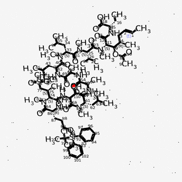 C/C=C/C[C@@H](C)[C@@H](OC(C)=O)[C@@H](C(=O)N[C@@H](CC)C(=O)O)N(C)C(=O)[C@H](C(C)C)N(C)C(=O)[C@H](CC(C)C)N(C)C(=O)[C@H](CC(C)C)N(C)C(=O)[C@@H](C)NC(=O)[C@H](C)NC(=O)[C@H](CC(C)C)N(C)C(=O)[C@@H](NC(=O)[C@H]([C@H](C)CS(C)(=O)=O)N(C)C(=O)[C@@H](CCCO[Si](c1ccccc1)(c1ccccc1)C(C)(C)C)NC)C(C)C